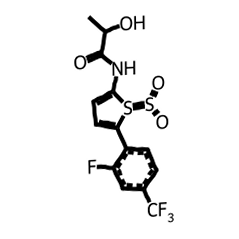 CC(O)C(=O)NC1=CC=C(c2ccc(C(F)(F)F)cc2F)S1=S(=O)=O